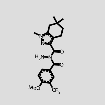 COc1ccc(C(=O)N(N)C(=O)c2nn(C)c3c2CCC(C)(C)C3)cc1C(F)(F)F